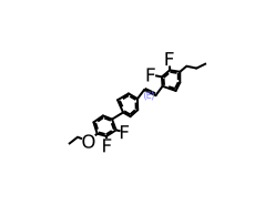 CCCc1ccc(/C=C/c2ccc(-c3ccc(OCC)c(F)c3F)cc2)c(F)c1F